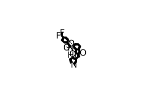 O=C1c2cccc(NS(=O)(=O)c3ccc(C(F)F)cc3)c2C(=O)N1Cc1cccnc1